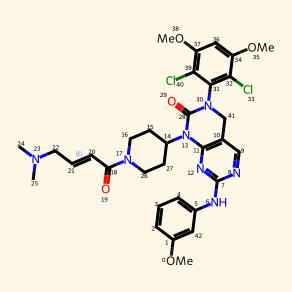 COc1cccc(Nc2ncc3c(n2)N(C2CCN(C(=O)/C=C/CN(C)C)CC2)C(=O)N(c2c(Cl)c(OC)cc(OC)c2Cl)C3)c1